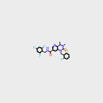 CC1c2ncc(C(=O)NCc3c(F)cc(F)cc3F)cc2N(Cc2c(F)cccc2Cl)C(=O)N1C